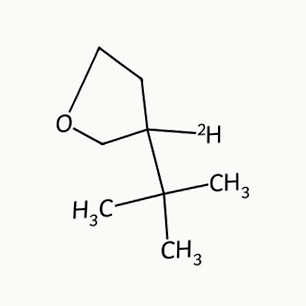 [2H]C1(C(C)(C)C)CCOC1